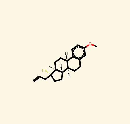 C=CC[C@]1(S)CC[C@H]2[C@@H]3CCc4cc(OC)ccc4[C@H]3CC[C@@]21C